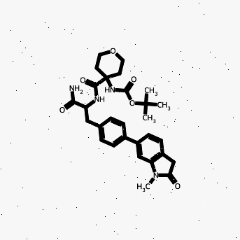 CN1C(=O)Cc2ccc(-c3ccc(CC(NC(=O)C4(NC(=O)OC(C)(C)C)CCOCC4)C(N)=O)cc3)cc21